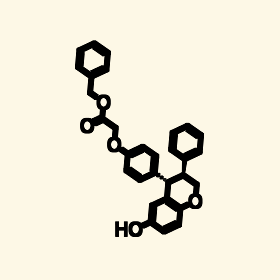 O=C(COc1ccc([C@H]2c3cc(O)ccc3OC[C@@H]2c2ccccc2)cc1)OCc1ccccc1